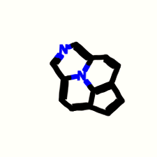 c1cc2ccc3cncc4ccc1c2n43